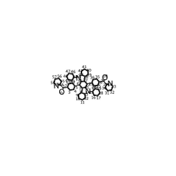 O=C(c1ccc(-c2c3c4ccccc4n(-c4ccccc4)c3c(-c3ccc(C(=O)c4ccccn4)cc3)c3c4ccccc4n(-c4ccccc4)c23)cc1)c1ccccn1